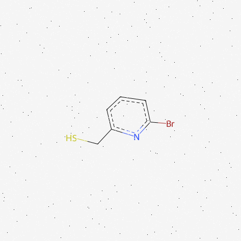 SCc1cccc(Br)n1